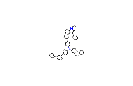 c1ccc(-c2cccc(-c3ccc(N(c4ccc(-c5ccc6ccc7c(c(-c8ccccc8)c8ccccn87)c6c5)cc4)c4ccc5c(ccc6ccccc65)c4)cc3)c2)cc1